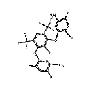 Nc1cc(Oc2c(C(F)(F)F)cc(C(F)(F)F)c(Oc3cc(N)c(F)cc3F)c2F)c(F)cc1F